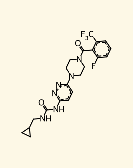 O=C(NCC1CC1)Nc1ccc(N2CCN(C(=O)c3c(F)cccc3C(F)(F)F)CC2)nn1